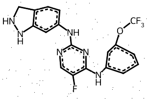 Fc1cnc(Nc2ccc3c(c2)NNC3)nc1Nc1cccc(OC(F)(F)F)c1